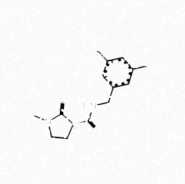 CN1CC[C@H](C(=O)NCc2cc(F)cc(Cl)c2)C1=O